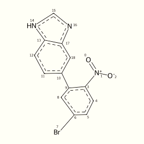 O=[N+]([O-])c1ccc(Br)cc1-c1ccc2[nH]cnc2c1